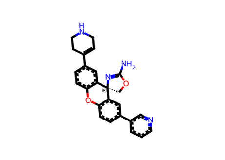 NC1=N[C@]2(CO1)c1cc(C3=CCNCC3)ccc1Oc1ccc(-c3cccnc3)cc12